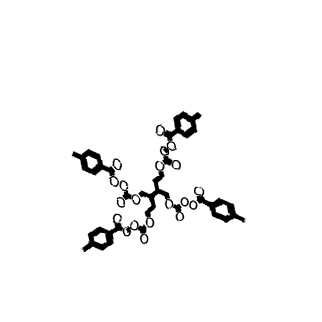 Cc1ccc(C(=O)OOC(=O)OCCC(COC(=O)OOC(=O)c2ccc(C)cc2)C(CCOC(=O)OOC(=O)c2ccc(C)cc2)COC(=O)OOC(=O)c2ccc(C)cc2)cc1